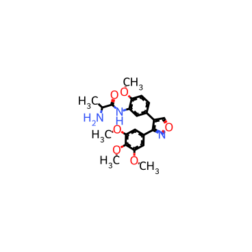 COc1ccc(-c2conc2-c2cc(OC)c(OC)c(OC)c2)cc1NC(=O)C(C)N